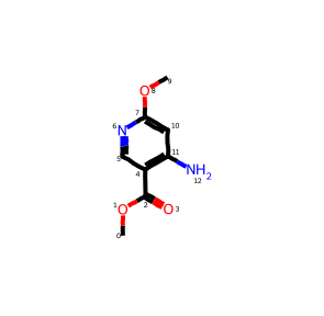 COC(=O)c1cnc(OC)cc1N